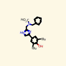 CC(C)(C)c1cc(-c2c[nH]c(CN(Cc3ccccc3)C(=O)O)n2)cc(C(C)(C)C)c1O